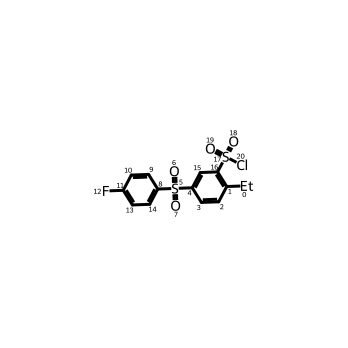 CCc1ccc(S(=O)(=O)c2ccc(F)cc2)cc1S(=O)(=O)Cl